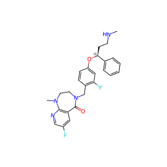 CNCC[C@H](Oc1ccc(CN2CCN(C)c3ncc(F)cc3C2=O)c(F)c1)c1ccccc1